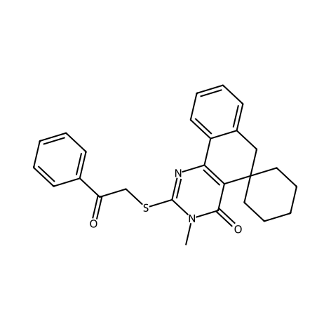 Cn1c(SCC(=O)c2ccccc2)nc2c(c1=O)C1(CCCCC1)Cc1ccccc1-2